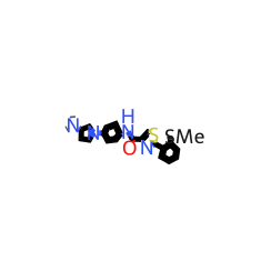 CSc1ccccc1-c1nc(C(=O)Nc2ccc(N3CCC(N(C)C)C3)cc2)cs1